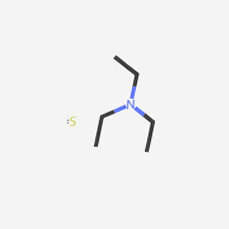 CCN(CC)CC.[S]